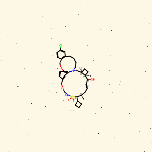 C[C@@H]1C/C=C/[C@H](O)[C@@H]2CC[C@H]2CN2CCCCc3cc(Cl)ccc3COc3ccc(cc32)COCNS(=O)(=O)[C@@H]1C1CCC1